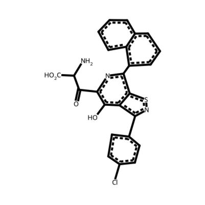 NC(C(=O)O)C(=O)c1nc(-c2cccc3ccccc23)c2snc(-c3ccc(Cl)cc3)c2c1O